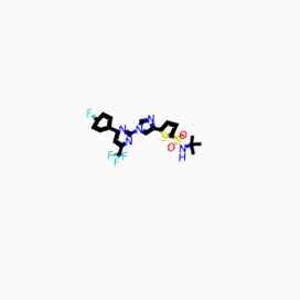 CC(C)(C)NS(=O)(=O)c1ccc(-c2cn(-c3nc(-c4ccc(F)cc4)cc(C(F)(F)F)n3)cn2)s1